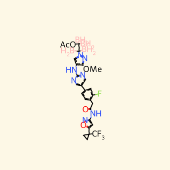 BC(B)(OC(C)=O)C(B)(B)n1cc(Nc2ncc(-c3ccc(CC(=O)Nc4cc(C5(C(F)(F)F)CC5)on4)c(F)c3)cn2)c(OC)n1